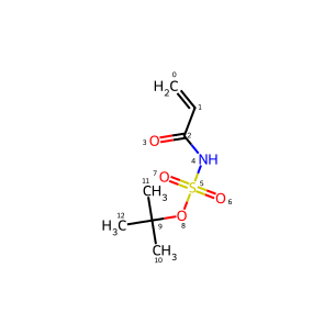 C=CC(=O)NS(=O)(=O)OC(C)(C)C